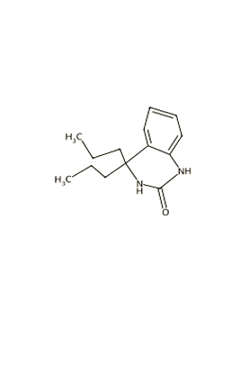 CCCC1(CCC)NC(=O)Nc2ccccc21